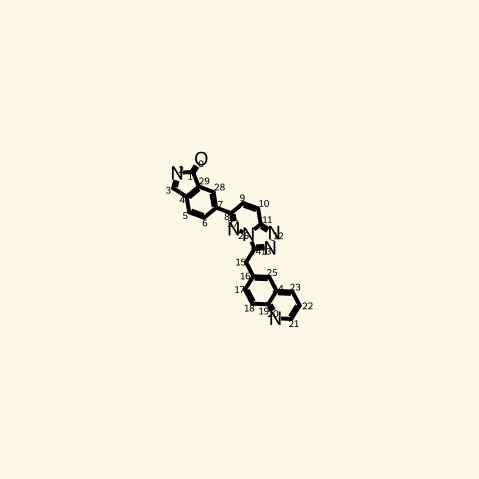 O=C1N=Cc2ccc(-c3ccc4nnc(Cc5ccc6ncccc6c5)n4n3)cc21